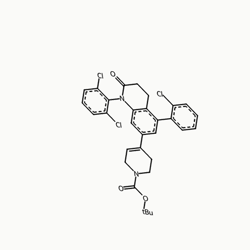 CC(C)(C)OC(=O)N1CC=C(c2cc(-c3ccccc3Cl)c3c(c2)N(c2c(Cl)cccc2Cl)C(=O)CC3)CC1